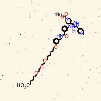 CC(C)(C)OC(=O)N1CCC(Nc2cccc(C(=O)NCc3cccc(OCCCCCCOCCOCCOCCCCCC(=O)O)c3)c2)(c2nnc(-c3ccncc3)[nH]2)CC1